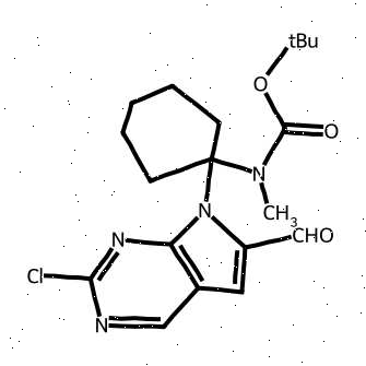 CN(C(=O)OC(C)(C)C)C1(n2c(C=O)cc3cnc(Cl)nc32)CCCCC1